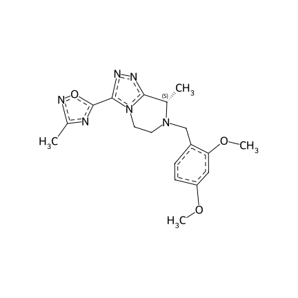 COc1ccc(CN2CCn3c(-c4nc(C)no4)nnc3[C@@H]2C)c(OC)c1